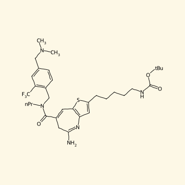 CCCN(Cc1ccc(CN(C)C)cc1C(F)(F)F)C(=O)C1=Cc2sc(CCCCCNC(=O)OC(C)(C)C)cc2N=C(N)C1